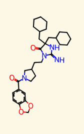 N=C1NC(CC2CCCCC2)(CC2CCCCC2)C(=O)N1CCC1CCN(C(=O)c2ccc3c(c2)OCO3)C1